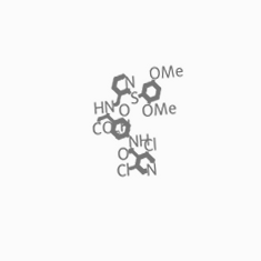 COc1ccc(OC)c(Sc2ncccc2C(=O)NC(CC(=O)O)c2ccc(NC(=O)c3c(Cl)cncc3Cl)cc2)c1